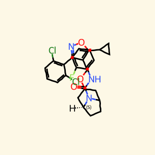 O=C(Nc1ccccc1F)N1C2CC[C@H]1CC(OCc1c(-c3c(Cl)cccc3Cl)noc1C1CC1)C2